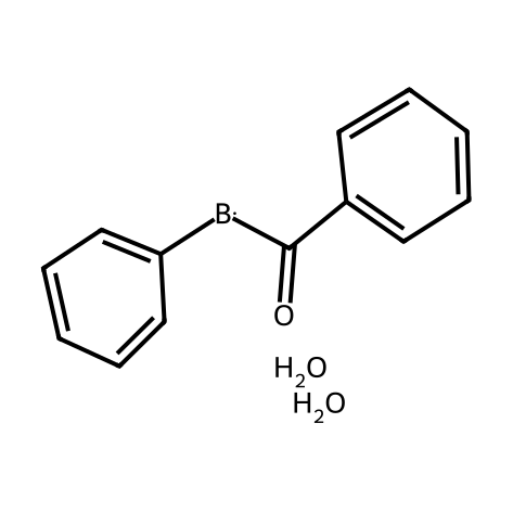 O.O.O=C([B]c1ccccc1)c1ccccc1